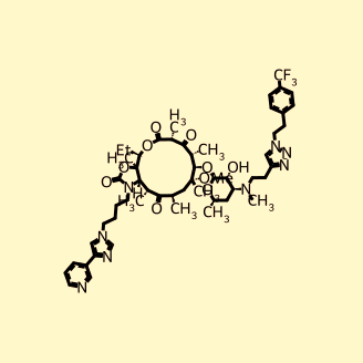 CC[C@H]1OC(=O)[C@H](C)C(=O)[C@H](C)[C@@H](O[C@@H]2O[C@H](C)C[C@H](N(C)CCc3cn(CCc4ccc(C(F)(F)F)cc4)nn3)[C@H]2O)[C@](C)(OC)C[C@@H](C)C(=O)[C@H](C)[C@@H]2N(CCCCn3cnc(-c4cccnc4)c3)C(=O)O[C@@]21C